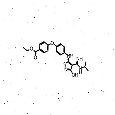 CCOC(=O)c1ccc(Oc2ccc(Nc3snc(O)c3C(=N)NC(C)C)cc2)cc1